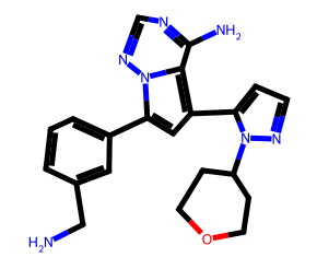 NCc1cccc(-c2cc(-c3ccnn3C3CCOCC3)c3c(N)ncnn23)c1